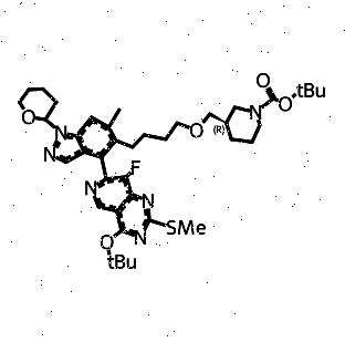 CSc1nc(OC(C)(C)C)c2cnc(-c3c(CCCCOC[C@@H]4CCCN(C(=O)OC(C)(C)C)C4)c(C)cc4c3cnn4C3CCCCO3)c(F)c2n1